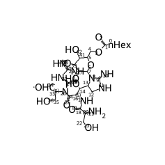 CCCCCCC(=O)OCC1OC(N2C(=N)NCC2C(O)[C@H](NC(=O)[C@@H](N)CO)C(=O)N(C2CNC(=N)N2)[C@H]([C]=O)CO)C(O)C(O)C1O